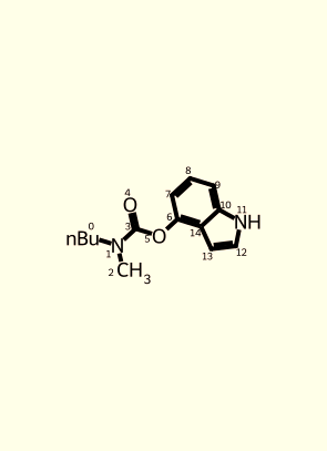 CCCCN(C)C(=O)Oc1cccc2[nH]ccc12